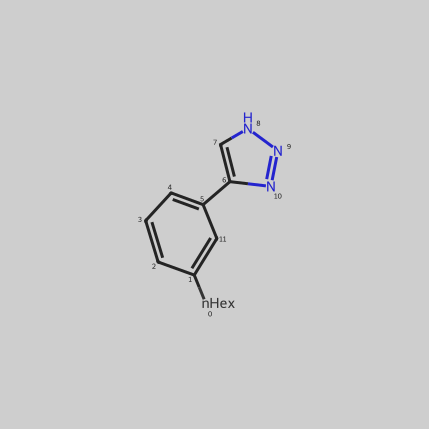 CCCCCCc1cccc(-c2c[nH]nn2)c1